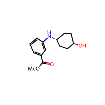 COC(=O)c1cccc(N[C@H]2CC[C@H](O)CC2)c1